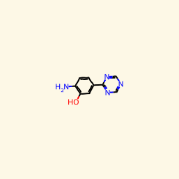 Nc1ccc(-c2ncncn2)cc1O